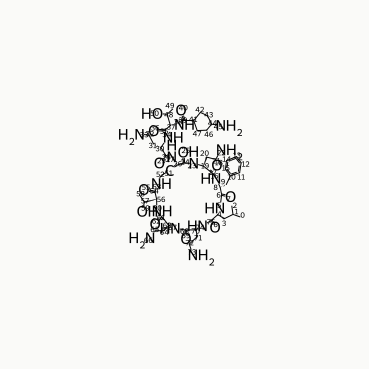 CC(C)C[C@@H]1NC(=O)[C@@H](Cc2ccccc2)NC(=O)[C@H](CCN)NC(=O)[C@@H](NC(=O)[C@H](CCN)NC(=O)[C@@H](NC(=O)C2CCC(N)CC2)C(C)O)CCNC(=O)[C@H](C(C)O)NC(=O)[C@H](CCN)NC(=O)[C@H](CCN)NC1=O